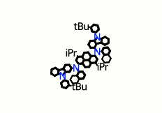 CC(C)c1cc(N(c2ccc3c4ccccc4n(-c4cccc(C(C)(C)C)c4)c3c2)c2cccc3c2CCCC3)c2ccc3c(C(C)C)cc(N(c4cccc5c4CCCC5)c4cccc5c4c4ccccc4n5-c4cccc(C(C)(C)C)c4)c4ccc1c2c34